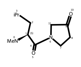 CN[C@@H](CC(C)C)C(=O)N1CCC(=O)C1